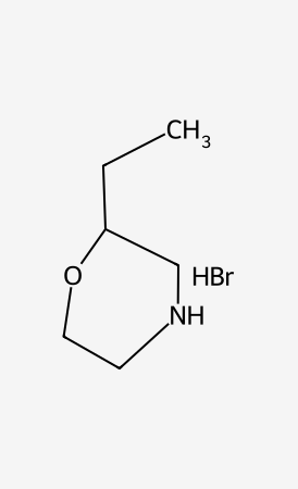 Br.CCC1CNCCO1